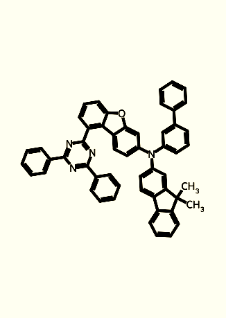 CC1(C)c2ccccc2-c2ccc(N(c3cccc(-c4ccccc4)c3)c3ccc4c(c3)oc3cccc(-c5nc(-c6ccccc6)nc(-c6ccccc6)n5)c34)cc21